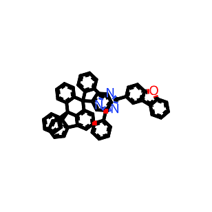 c1ccc(-c2nc(-c3ccc4oc5ccccc5c4c3)nc(-c3ccccc3C3(c4ccccc4)c4ccccc4C4(c5ccccc5)c5ccccc5-c5cccc3c54)n2)cc1